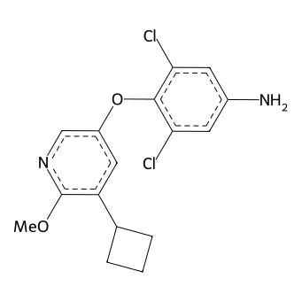 COc1ncc(Oc2c(Cl)cc(N)cc2Cl)cc1C1CCC1